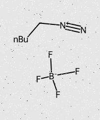 CCCCC[N+]#N.F[B-](F)(F)F